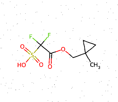 CC1(COC(=O)C(F)(F)S(=O)(=O)O)CC1